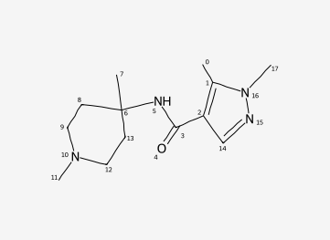 Cc1c(C(=O)NC2(C)CCN(C)CC2)cnn1C